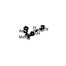 COC(=O)C(Cc1ccc(NC(=O)CNCC(=O)N2CCCC2C#N)cc1)NC(=O)C(CSC(C)=O)Cc1ccccc1